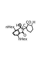 CCCCCCc1ccc(CCCCCC)c2c1C(=O)N(C1(C(=O)O)CCCCC1C(=O)O)C2=O